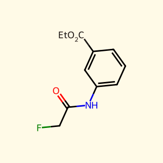 CCOC(=O)c1cccc(NC(=O)CF)c1